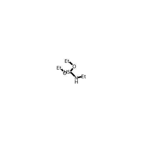 CCN[SiH](OCC)OCC